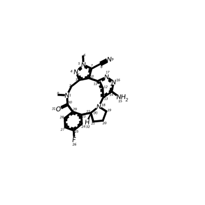 CN1Cc2nn(C)c(C#N)c2-c2cc(c(N)nn2)N2CCC[C@@H]2c2cc(F)ccc2C1=O